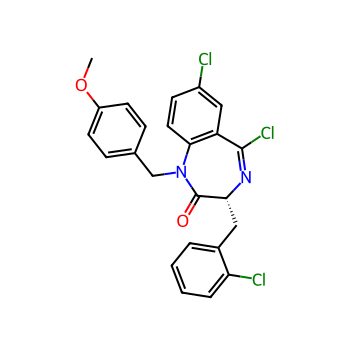 COc1ccc(CN2C(=O)[C@@H](Cc3ccccc3Cl)N=C(Cl)c3cc(Cl)ccc32)cc1